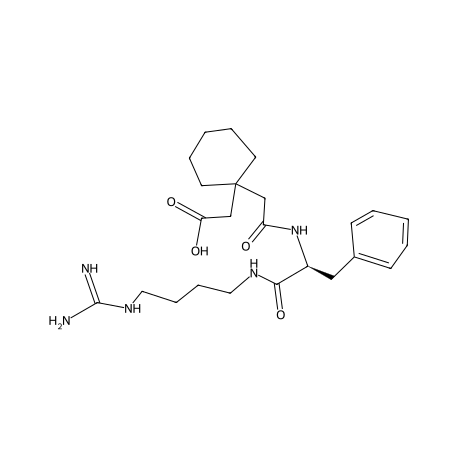 N=C(N)NCCCCNC(=O)[C@H](Cc1ccccc1)NC(=O)CC1(CC(=O)O)CCCCC1